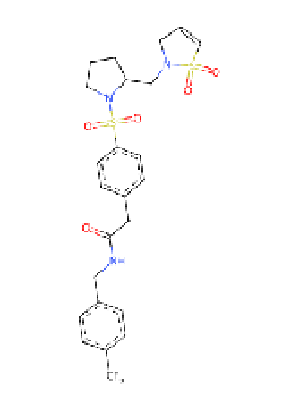 O=C(Cc1ccc(S(=O)(=O)N2CCCC2CN2CC=CS2(=O)=O)cc1)NCc1ccc(C(F)(F)F)cc1